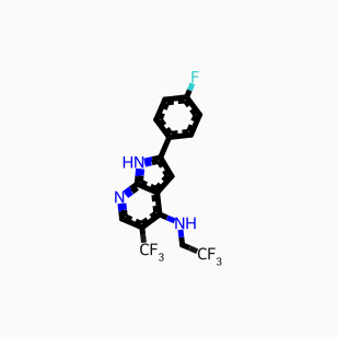 Fc1ccc(-c2cc3c(NCC(F)(F)F)c(C(F)(F)F)cnc3[nH]2)cc1